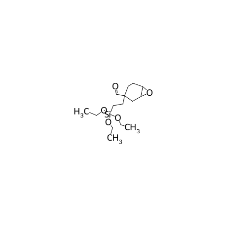 CCO[Si](CCC1(C=O)CCC2OC2C1)(OCC)OCC